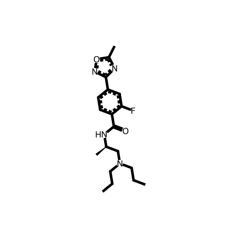 CCCN(CCC)C[C@@H](C)NC(=O)c1ccc(-c2noc(C)n2)cc1F